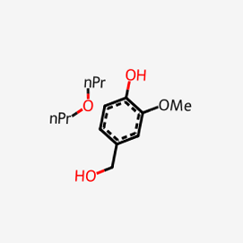 CCCOCCC.COc1cc(CO)ccc1O